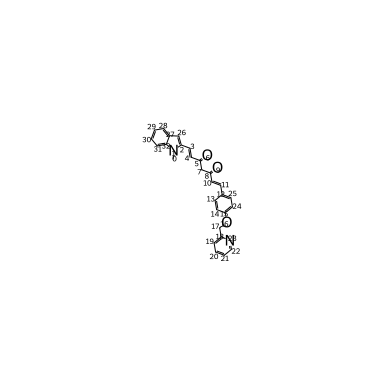 Cn1c(C=CC(=O)CC(=O)C=Cc2ccc(OCc3ccccn3)cc2)cc2ccccc21